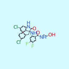 O=C(NCCO)c1cc(F)c(F)cc1NC1(Cc2cccc(Cl)c2)C(=O)Nc2cc(Cl)ccc21